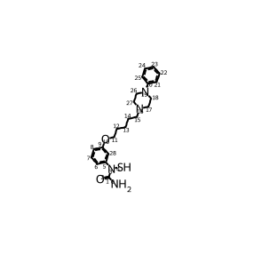 NC(=O)N(S)c1cccc(OCCCCCN2CCN(c3ccccc3)CC2)c1